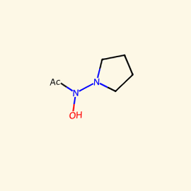 CC(=O)N(O)N1CCCC1